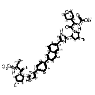 COC(=O)NC(C(=O)N1C[C@@H](C)C[C@H]1c1nc(-c2ccc3cc(-c4ccc(-c5c[nH]c([C@@H]6C[C@H](C)CN6C(=O)C(NC(=O)O)C(C)C)n5)cc4)ccc3c2)c[nH]1)C1CCOCC1